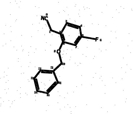 N#CCc1ccc(F)cc1OCc1ccccc1